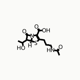 CC(=O)NCCCC1=C(C(=O)O)N2C(=O)C(C(C)O)[C@H]2S1